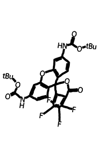 CC(C)(C)OC(=O)Nc1ccc2c(c1)Oc1cc(NC(=O)OC(C)(C)C)ccc1C21OC(=O)c2c(F)c(F)c(F)c(F)c21